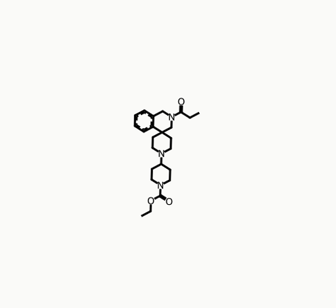 CCOC(=O)N1CCC(N2CCC3(CC2)CN(C(=O)CC)Cc2ccccc23)CC1